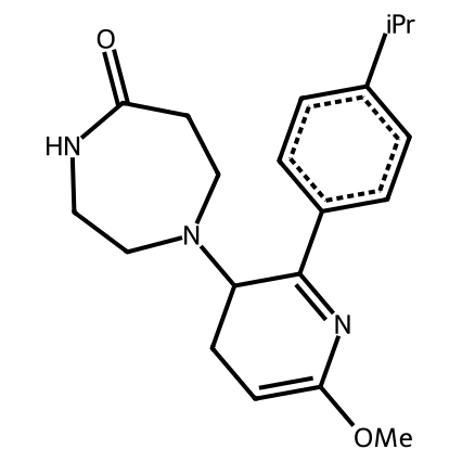 COC1=CCC(N2CCNC(=O)CC2)C(c2ccc(C(C)C)cc2)=N1